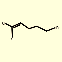 C[CH]CCCCC=C(Cl)Cl